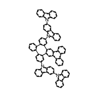 c1ccc2c(c1)-c1ccc(-n3c4ccccc4c4cc(-n5c6ccccc6c6ccccc65)ccc43)cc1-c1cc3c4ccccc4c4ccccc4c3cc1-c1cc(-n3c4ccccc4c4cc(-n5c6ccccc6c6ccccc65)ccc43)ccc1-2